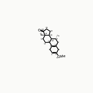 COC1=CCC2=C(C1)C[C@@H](C)C1C2CC[C@]2(C)C(=O)CCC12